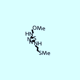 COCCNc1nnc(NCCCSC)s1